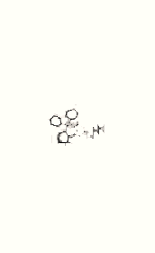 CC1CC(N=[N+]=[N-])CCN1C(c1ccccc1)(c1ccccc1)c1ccccc1